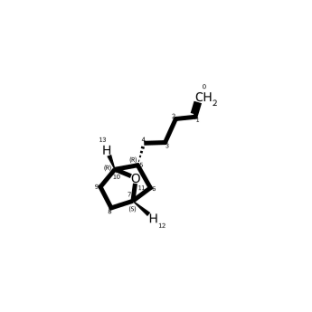 C=CCCC[C@@H]1C[C@@H]2CC[C@H]1O2